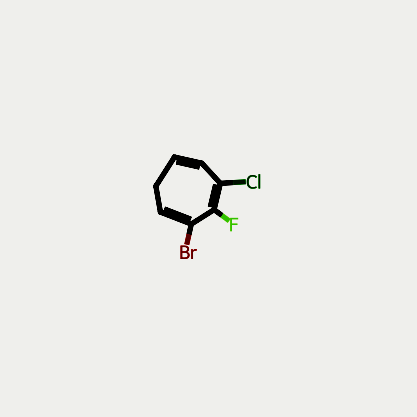 FC1=C(Cl)C=CCC=C1Br